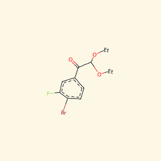 CCOC(OCC)C(=O)c1ccc(Br)c(F)c1